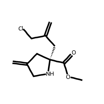 C=C(CCl)C[C@@]1(C(=O)OC)CC(=C)CN1